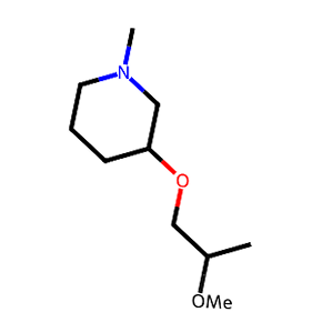 COC(C)COC1CCCN(C)C1